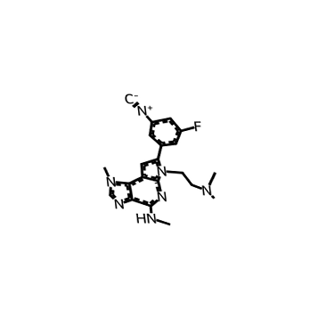 [C-]#[N+]c1cc(F)cc(-c2cc3c4c(ncn4C)c(NC)nc3n2CCN(C)C)c1